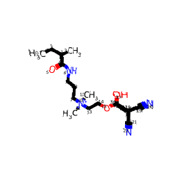 CCC(C)C(=O)NCCC[N+](C)(C)CCOC(O)=C(C#N)C#N